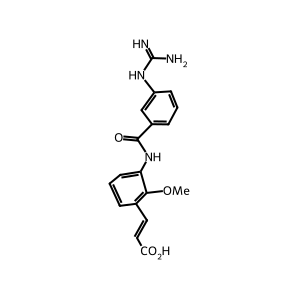 COc1c(C=CC(=O)O)cccc1NC(=O)c1cccc(NC(=N)N)c1